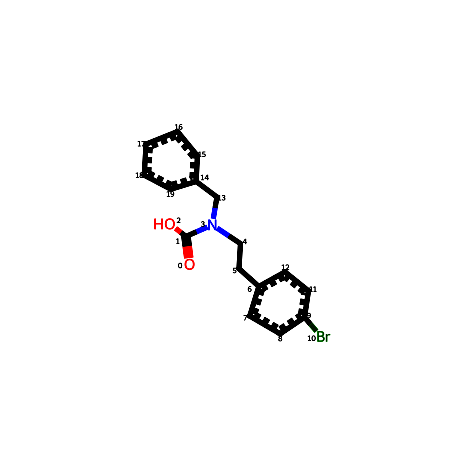 O=C(O)N(CCc1ccc(Br)cc1)Cc1ccccc1